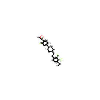 CCc1ccc(CCC2CCC(c3ccc(C4CO4)c(F)c3)CC2)c(F)c1F